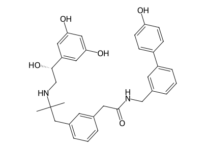 CC(C)(Cc1cccc(CC(=O)NCc2cccc(-c3ccc(O)cc3)c2)c1)NC[C@H](O)c1cc(O)cc(O)c1